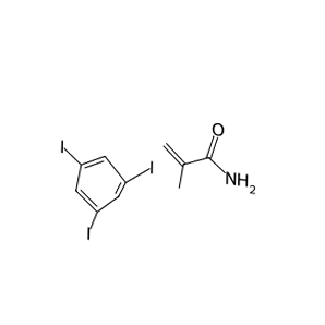 C=C(C)C(N)=O.Ic1cc(I)cc(I)c1